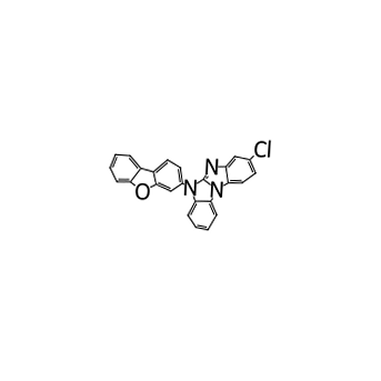 Clc1ccc2c(c1)nc1n(-c3ccc4c(c3)oc3ccccc34)c3ccccc3n21